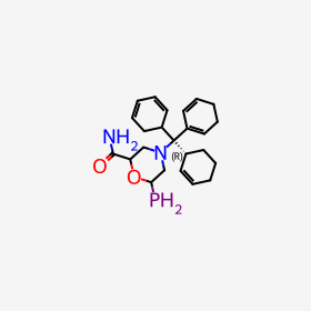 NC(=O)C1CN(C(C2=CCCC=C2)(C2C=CC=CC2)[C@H]2C=CCCC2)CC(P)O1